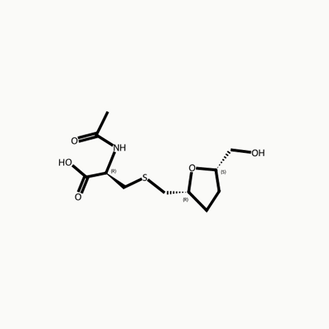 CC(=O)N[C@@H](CSC[C@H]1CC[C@@H](CO)O1)C(=O)O